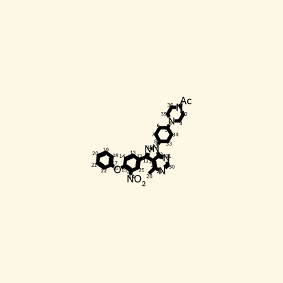 CC(=O)N1CCN(C2CCC(n3nc(-c4ccc(Oc5ccccc5)c([N+](=O)[O-])c4)c4c(C)ncnc43)CC2)CC1